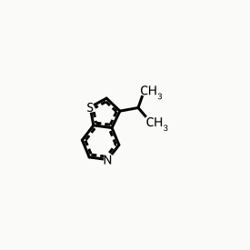 CC(C)c1csc2ccncc12